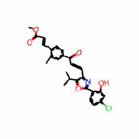 COC(=O)C=Cc1ccc(C(=O)C=Cc2nc(-c3ccc(Cl)cc3O)oc2C(C)C)cc1C